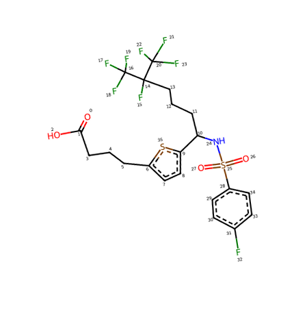 O=C(O)CCCc1ccc(C(CCCC(F)(C(F)(F)F)C(F)(F)F)NS(=O)(=O)c2ccc(F)cc2)s1